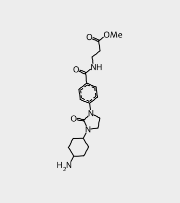 COC(=O)CCNC(=O)c1ccc(N2CCN(C3CCC(N)CC3)C2=O)cc1